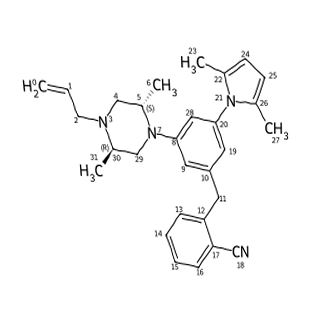 C=CCN1C[C@H](C)N(c2cc(Cc3ccccc3C#N)cc(-n3c(C)ccc3C)c2)C[C@H]1C